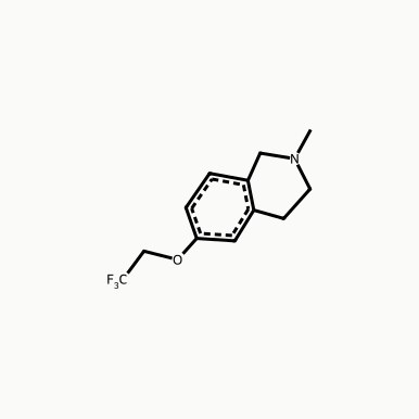 CN1CCc2cc(OCC(F)(F)F)ccc2C1